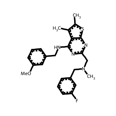 COc1cccc(CNc2nc(CN(C)Cc3cccc(F)c3)nc3sc(C)c(C)c23)c1